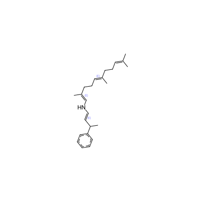 CC(C)=CCC/C(C)=C/CC/C(C)=C/N/C=C/C(C)c1ccccc1